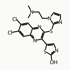 CN(C)CCn1ccnc1Sc1nc2cc(Cl)c(Cl)cc2nc1-c1cnc(O)s1